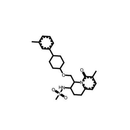 Cc1cccc(C2CCC(OCC3C(NS(C)(=O)=O)CCc4ccc(C)c(=O)n43)CC2)c1